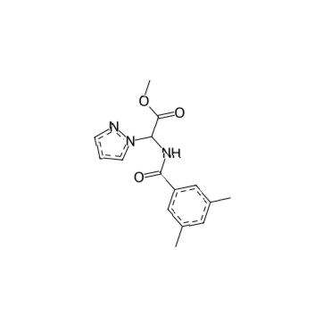 COC(=O)C(NC(=O)c1cc(C)cc(C)c1)n1cccn1